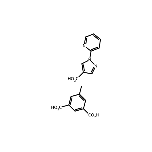 Cc1cc(C(=O)O)cc(C(=O)O)c1.O=C(O)c1cnn(-c2ccccn2)c1